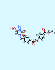 COC(=O)c1ccc(COC(=O)c2ccc(CN3CC(O)NS3(=O)=O)cc2)cc1